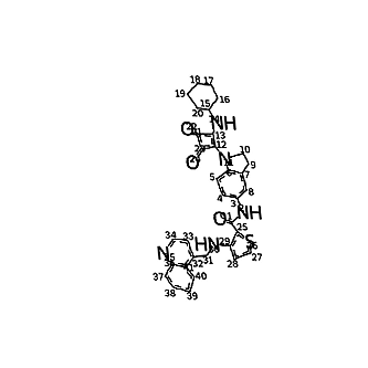 O=C(Nc1ccc2c(c1)CCN2c1c(NC2CCCCC2)c(=O)c1=O)c1sccc1NCc1ccnc2ccccc12